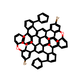 Brc1cc2c3c(c1)-c1cc(-c4c(-c5ccccc5)cccc4-c4ccccc4)c4cc5c6c(cc(-c7c(-c8ccccc8)cccc7-c7ccccc7)c7cc(c1c4c76)B3c1ccccc1O2)-c1cc(Br)cc2c1B5c1ccccc1O2